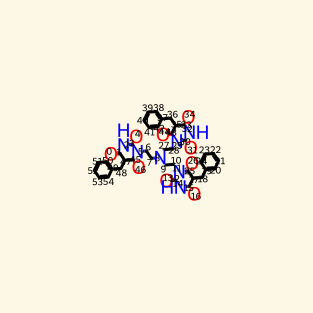 O=C1NC(=O)N(CCN(CCN2C(=O)NC(=O)C(Cc3ccccc3)C2=O)CCN2C(=O)NC(=O)C(Cc3ccccc3)C2=O)C(=O)C1Cc1ccccc1